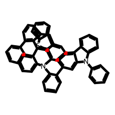 c1ccc(-c2cccc3cccc(-c4ccccc4N(c4ccccc4-c4ccc5c6ccccc6n(-c6ccccc6)c5c4)c4cccc5c4sc4ccccc45)c23)cc1